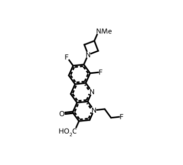 CNC1CN(c2c(F)cc3cc4c(=O)c(C(=O)O)cn(CCF)c4nc3c2F)C1